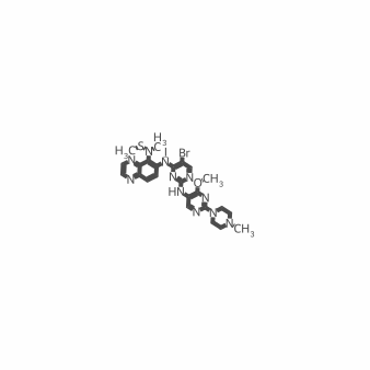 COc1nc(N2CCN(C)CC2)ncc1Nc1ncc(Br)c(N(I)c2ccc3nccnc3c2N(C)SC)n1